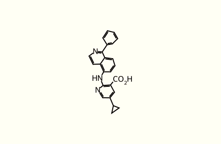 O=C(O)c1cc(C2CC2)cnc1Nc1cccc2c(-c3ccccc3)nccc12